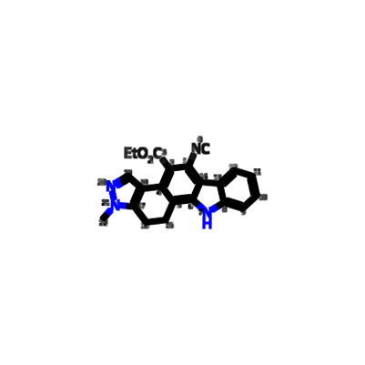 [C-]#[N+]c1c(C(=O)OCC)c2c(c3[nH]c4ccccc4c13)CCc1c-2cnn1C